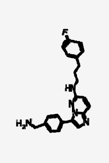 NCc1ccc(-c2cnc3ccc(NCCCc4ccc(F)cc4)nn23)cc1